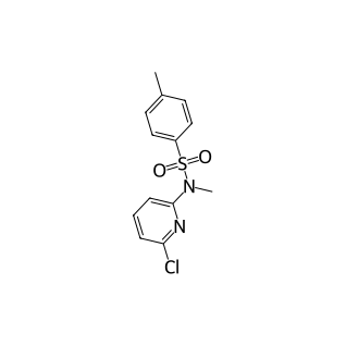 Cc1ccc(S(=O)(=O)N(C)c2cccc(Cl)n2)cc1